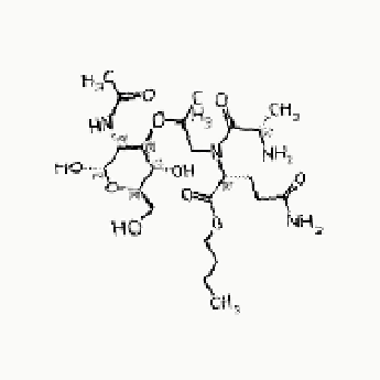 CCCCOC(=O)[C@@H](CCC(N)=O)N(CC(C)O[C@H]1[C@H](O)[C@@H](CO)O[C@H](O)[C@@H]1NC(C)=O)C(=O)[C@H](C)N